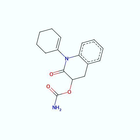 NC(=O)OC1Cc2ccccc2N(C2=CCCCC2)C1=O